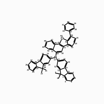 CC1(C)c2ccccc2-c2ccc(N(c3ccc4c(c3)C(C)(C)c3ccccc3-4)c3cc4c5cccc(-c6ccccc6)c5oc4c4ccccc34)cc21